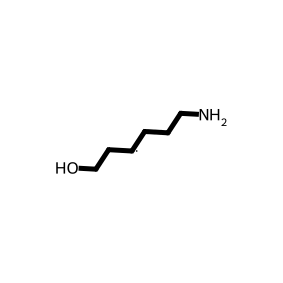 NCCC[CH]CCO